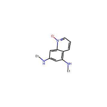 CCNc1cc(NCC)c2ccc[n+]([O-])c2c1